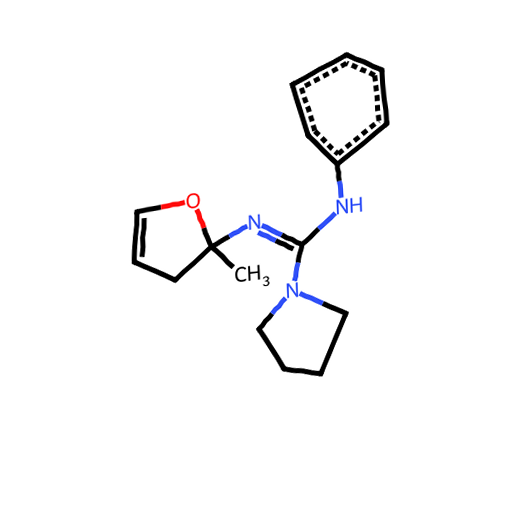 CC1(N=C(Nc2ccccc2)N2CCCC2)CC=CO1